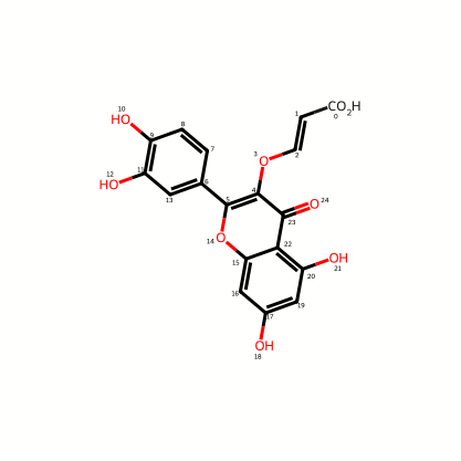 O=C(O)C=COc1c(-c2ccc(O)c(O)c2)oc2cc(O)cc(O)c2c1=O